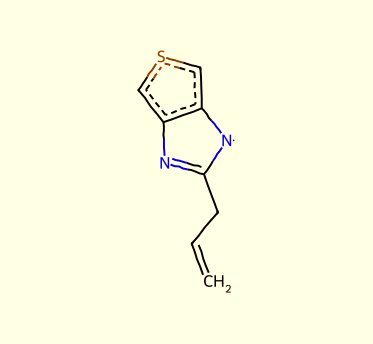 C=CCC1=Nc2cscc2[N]1